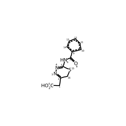 O=C(O)CC1=NN=C(NC(=O)c2ccccc2)SC1